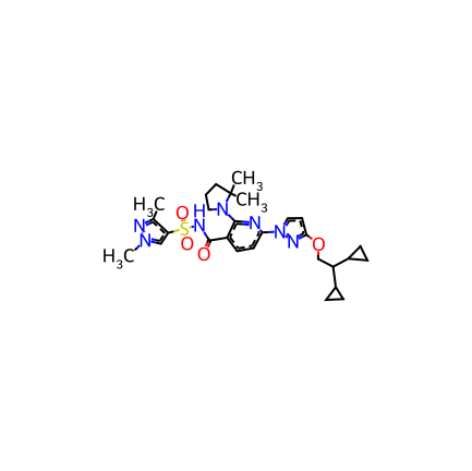 Cc1nn(C)cc1S(=O)(=O)NC(=O)c1ccc(-n2ccc(OCC(C3CC3)C3CC3)n2)nc1N1CCCC1(C)C